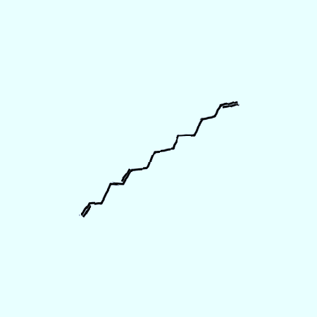 [CH]=CCCC=CCCCCCCCC=C